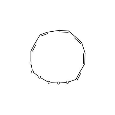 C1=CC=CC=COOOOOOC=CC=CC=C1